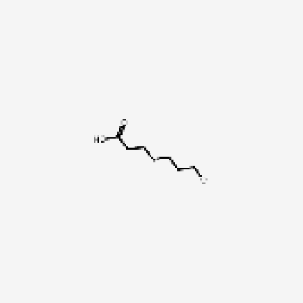 [O]CCCSCCC(=O)O